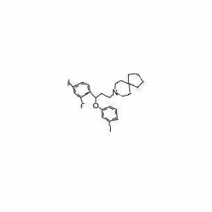 Fc1cc(I)ccc1C(CCN1CCC2(CCCC2)CC1)Oc1cccc(I)c1